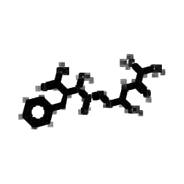 CC(O/N=[N+](\[O-])N(C)[C@@H](Cc1ccccc1)C(=O)O)OC(=O)C(C)C